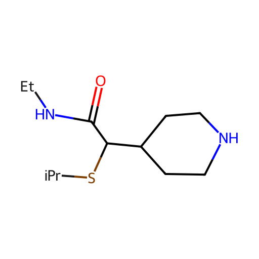 CCNC(=O)C(SC(C)C)C1CCNCC1